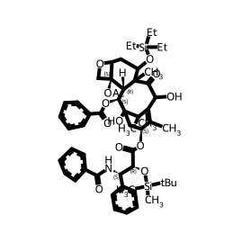 CC[Si](CC)(CC)OC1CC2OC[C@@]2(OC(C)=O)[C@H]2[C@H](OC(=O)c3ccccc3)C3(O)C[C@H](OC(=O)[C@H](O[Si](C)(C)C(C)(C)C)[C@@H](NC(=O)c4ccccc4)c4ccccc4)C(C)=C(C(O)C(=O)C12C)C3(C)C